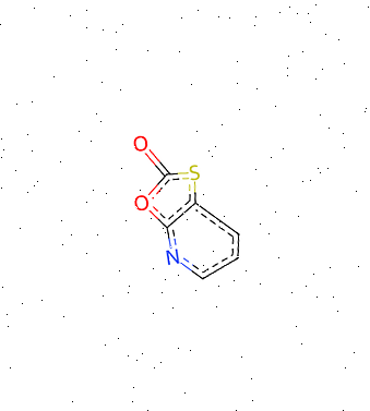 O=c1oc2ncccc2s1